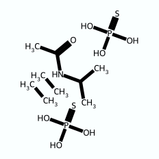 CC.CC.CC(=O)NC(C)C.OP(O)(O)=S.OP(O)(O)=S